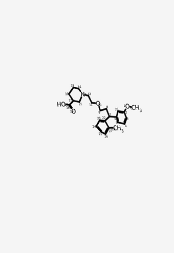 COc1cccc(C(CCOCCN2CCCC(C(=O)O)C2)c2ccccc2C)c1